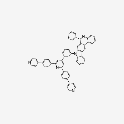 c1ccc(-c2nc3ccccc3c3cc4c5ccccc5n(-c5cccc(-c6cc(-c7ccc(-c8ccncc8)cc7)nc(-c7ccc(-c8ccncc8)cc7)c6)c5)c4cc23)cc1